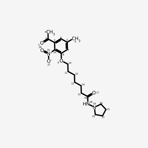 CC(=O)c1cc(C)cc(OCCCCCCC(=O)NN2CCCC2)c1[N+](=O)[O-]